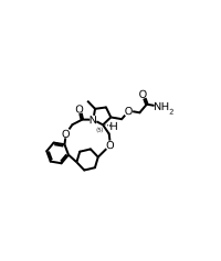 CC1CC(COCC(N)=O)[C@H]2COC3CCC(CC3)c3ccccc3OCC(=O)N12